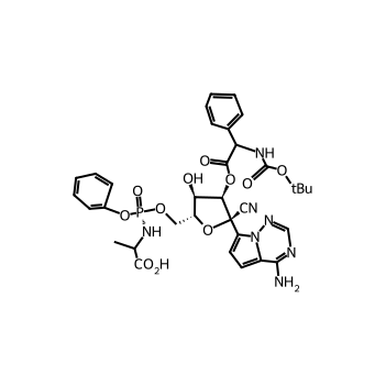 CC(N[P@](=O)(OC[C@H]1O[C@@](C#N)(c2ccc3c(N)ncnn23)[C@H](OC(=O)C(NC(=O)OC(C)(C)C)c2ccccc2)[C@@H]1O)Oc1ccccc1)C(=O)O